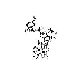 CC1(C)c2[nH]nc(NC(=O)C3(S(C)(C)C)CCC3)c2CN1C(=O)Nc1cc(F)ccc1Cl